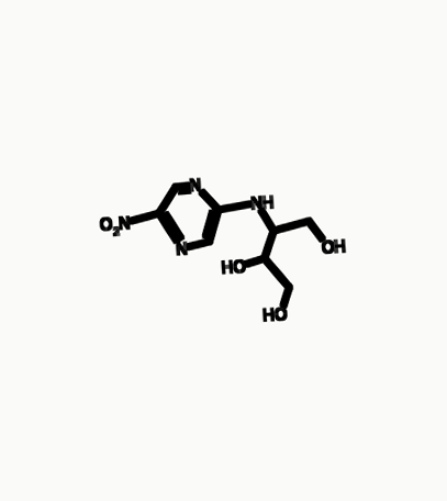 O=[N+]([O-])c1cnc(NC(CO)C(O)CO)cn1